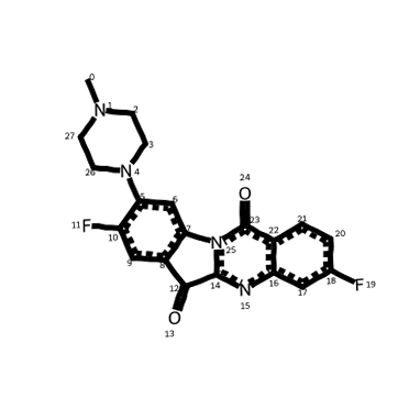 CN1CCN(c2cc3c(cc2F)C(=O)c2nc4cc(F)ccc4c(=O)n2-3)CC1